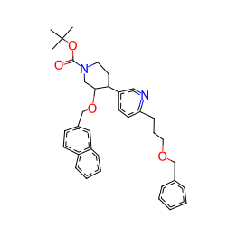 CC(C)(C)OC(=O)N1CCC(c2ccc(CCCOCc3ccccc3)nc2)C(OCc2ccc3ccccc3c2)C1